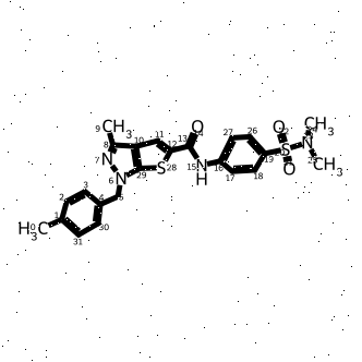 Cc1ccc(Cn2nc(C)c3cc(C(=O)Nc4ccc(S(=O)(=O)N(C)C)cc4)sc32)cc1